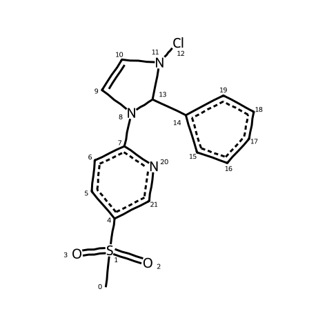 CS(=O)(=O)c1ccc(N2C=CN(Cl)C2c2ccccc2)nc1